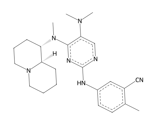 Cc1ccc(Nc2ncc(N(C)C)c(N(C)[C@H]3CCCN4CCCC[C@H]34)n2)cc1C#N